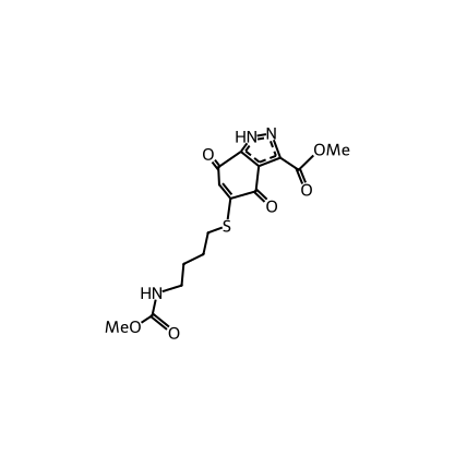 COC(=O)NCCCCSC1=CC(=O)c2[nH]nc(C(=O)OC)c2C1=O